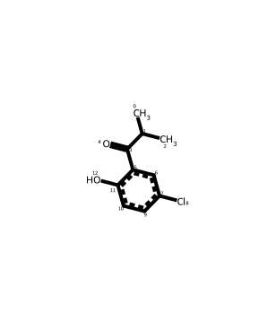 CC(C)C(=O)c1cc(Cl)ccc1O